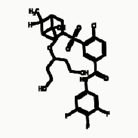 C[C@H]1C2CC(S(=O)(=O)c3cc(C(=O)Nc4cc(F)c(F)c(F)c4)ccc3Cl)CC1[C@@]2(O)COC(CCO)CCO